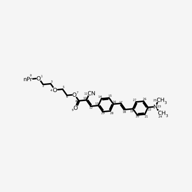 CCCOCCOCCOC(=O)/C(C#N)=C/c1ccc(/C=C/c2ccc(N(C)C)cc2)cc1